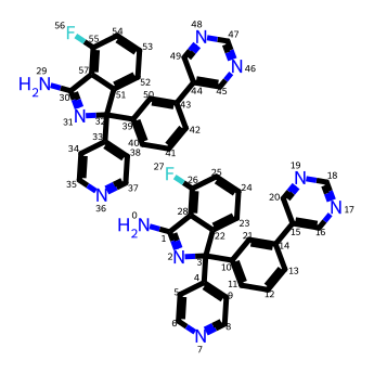 NC1=NC(c2ccncc2)(c2cccc(-c3cncnc3)c2)c2cccc(F)c21.NC1=NC(c2ccncc2)(c2cccc(-c3cncnc3)c2)c2cccc(F)c21